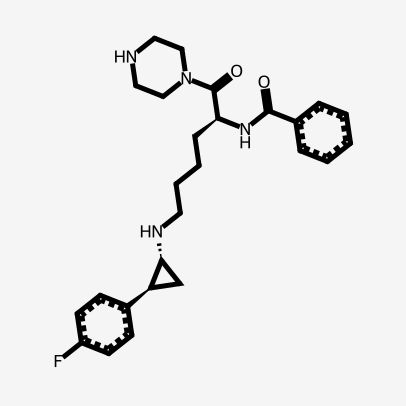 O=C(N[C@@H](CCCCN[C@@H]1C[C@H]1c1ccc(F)cc1)C(=O)N1CCNCC1)c1ccccc1